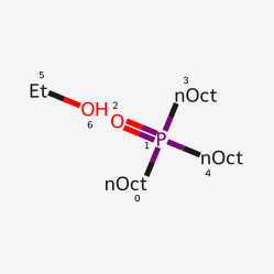 CCCCCCCCP(=O)(CCCCCCCC)CCCCCCCC.CCO